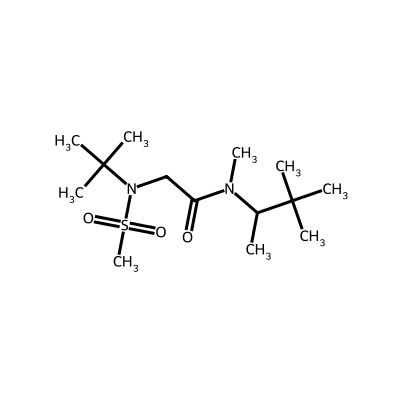 CC(N(C)C(=O)CN(C(C)(C)C)S(C)(=O)=O)C(C)(C)C